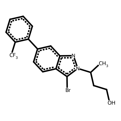 CC(CCO)n1nc2cc(-c3ccccc3C(F)(F)F)ccc2c1Br